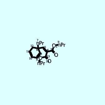 CCCOC(=O)C(=CC1(CCC)C=CC=CC1)C(=O)OCCC